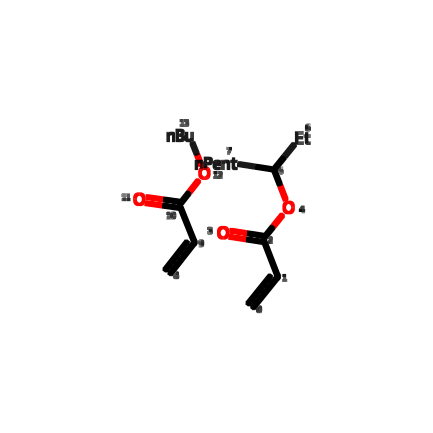 C=CC(=O)OC(CC)CCCCC.C=CC(=O)OCCCC